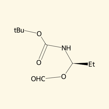 CC[C@H](NC(=O)OC(C)(C)C)OC=O